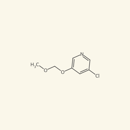 COCOc1cncc(Cl)c1